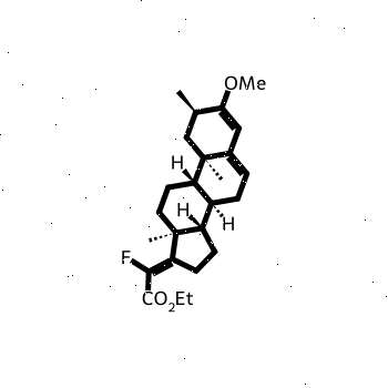 CCOC(=O)C(F)=C1CC[C@H]2[C@@H]3CC=C4C=C(OC)[C@H](C)C[C@]4(C)[C@H]3CC[C@]12C